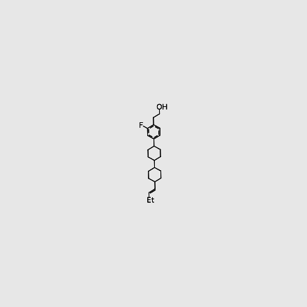 CC/C=C/C1CCC(C2CCC(c3ccc(CCO)c(F)c3)CC2)CC1